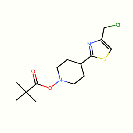 CC(C)(C)C(=O)ON1CCC(c2nc(CCl)cs2)CC1